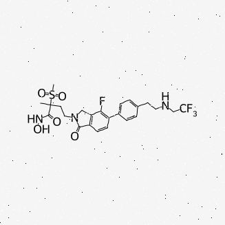 CC(CCN1Cc2c(ccc(-c3ccc(CCNCC(F)(F)F)cc3)c2F)C1=O)(C(=O)NO)S(C)(=O)=O